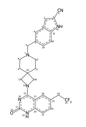 N#Cc1cc2cc(CN3CCC4(CC3)CN(c3nc(=O)[nH]c5ccc(CC(F)(F)F)cc35)C4)ccc2[nH]1